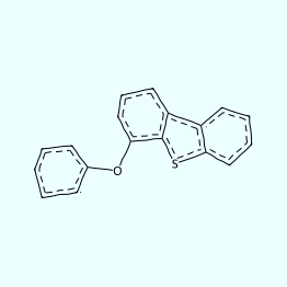 [c]1ccccc1Oc1cccc2c1sc1ccccc12